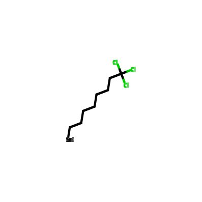 ClC(Cl)(Cl)CCCCCC[CH2][Sn]